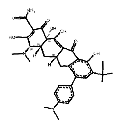 CN(C)c1ccc(-c2cc(C(C)(C)C)c(O)c3c2C[C@@H]2C[C@@H]4[C@@H](N(C)C)C(O)=C(C(N)=O)C(=O)[C@@]4(O)C(O)=C2C3=O)cc1